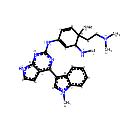 CCNC1C=C(Nc2nc(-c3cn(C)c4ccccc34)c3cc[nH]c3n2)C=CC1(CCN(C)C)NC